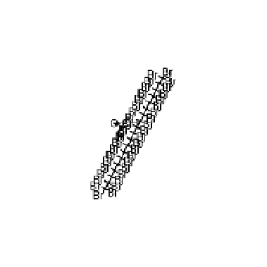 BrC(Br)(Br)C(Br)(Br)C(Br)(Br)C(Br)(Br)C(Br)(Br)C(Br)(Br)C(Br)(Br)C(Br)(Br)C(Br)(Br)C(Br)(Br)C(Br)(Br)C(Br)(Br)C(Br)(Br)C(Br)(Br)C(Br)(Br)C(Br)(Br)C(Br)(Br)C(Br)(Br)C(Br)(Br)Br.O=[SH](=O)O